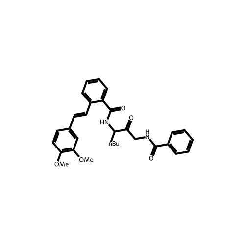 CCCCC(NC(=O)c1ccccc1C=Cc1ccc(OC)c(OC)c1)C(=O)CNC(=O)c1ccccc1